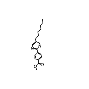 CCCCCCCc1cnc(-c2ccc(C(=O)OC)cc2)nc1